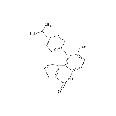 CC(=O)Oc1ccc2[nH]c(=O)c3sccc3c2c1-c1ccc(C(C)N)cc1